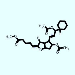 COC(=O)CCC/C=C1/OC2CC(OC(C)=O)C(/C=C/C(OC(C)=O)C3(F)CCCCC3)C2C1F